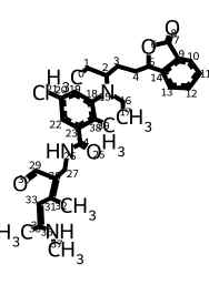 CCC(CCC1OC(=O)c2ccccc21)N(CC)c1cc(Cl)cc(C(=O)NC/C(C=O)=C(C)/C=C(/C)NC)c1C